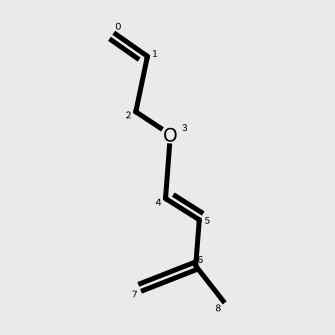 C=CCOC=CC(=C)C